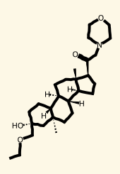 CCOC[C@@]1(O)CC[C@@H]2[C@H]3CC[C@]4(C)[C@@H](C(=O)CN5CCOCC5)CC[C@H]4[C@@H]3CC[C@@]2(C)C1